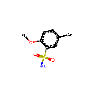 CCOc1ccc(C(C)=O)cc1S(N)(=O)=O